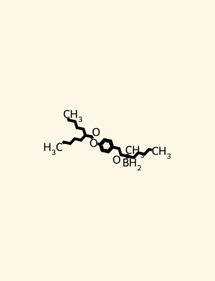 BC(C)(CCCCC)C(=O)Cc1ccc(OC(=O)C(CCCCC)CCCCC)cc1